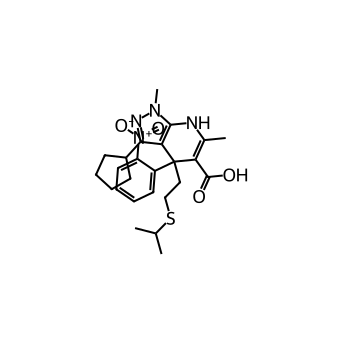 CC1=C(C(=O)O)C(CCSC(C)C)(c2ccccc2[N+](=O)[O-])c2c(C3CCCC3)nn(C)c2N1